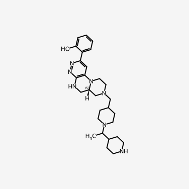 CC(C1CCNCC1)N1CCC(CN2CCN3c4cc(-c5ccccc5O)nnc4NC[C@H]3C2)CC1